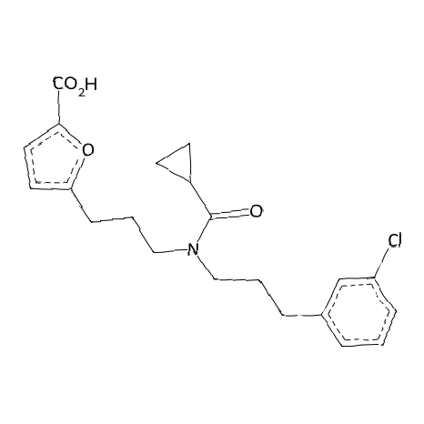 O=C(O)c1ccc(CCCN(CCCc2cccc(Cl)c2)C(=O)C2CC2)o1